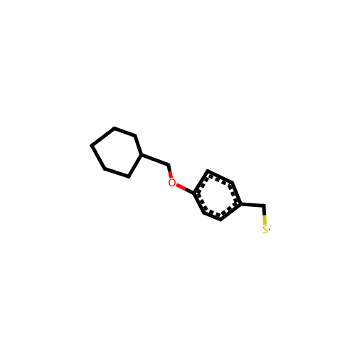 [S]Cc1ccc(OCC2CCCCC2)cc1